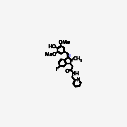 COc1cc(/C=C2\c3ccc(F)cc3C(CC(=O)NCc3ccccn3)[C@@H]2C)cc(OC)c1O